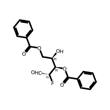 O=C[C@@H](F)[C@H](OC(=O)c1ccccc1)[C@H](O)COC(=O)c1ccccc1